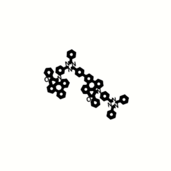 c1ccc(-c2nc(-c3ccccc3)nc(-c3ccc(-n4c5cccc6c5c5c7c(cccc7c7oc8ccccc8c7c54)-c4cc(-c5ccc(-c7nc(-c8ccccc8)nc(-c8cccc(-n9c%10cccc%11c%10c%10c%12c(cccc%12c%12oc%13ccccc%13c%12c%109)-c9ccccc9-%11)c8)n7)cc5)ccc4-6)cc3)n2)cc1